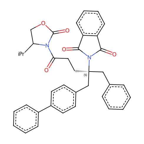 CC(C)C1COC(=O)N1C(=O)CC[C@](Cc1ccccc1)(Cc1ccc(-c2ccccc2)cc1)N1C(=O)c2ccccc2C1=O